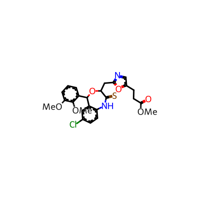 COC(=O)CCc1cnc(CC2OC(c3cccc(OC)c3OC)c3cc(Cl)ccc3NC2=S)o1